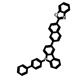 c1ccc(-c2ccc(-n3c4ccccc4c4cc(-c5ccc6cc(-c7nc8ccccc8o7)ccc6c5)ccc43)cc2)cc1